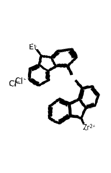 CCC1c2ccccc2-c2c(C)cccc21.Cc1cccc2c1-c1ccccc1[CH]2[Zr+2].[Cl-].[Cl-]